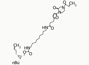 C=CCC[C@H]1[C@@H](CCCC)[C@H]1COC(=O)NCCCCCCCCCNC(=O)CCc1ccc(N2CCN(C(=O)C=C)CC2=O)o1